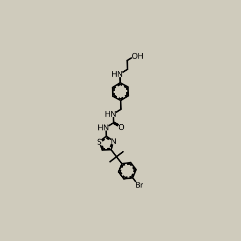 CC(C)(c1ccc(Br)cc1)c1csc(NC(=O)NCc2ccc(NCCO)cc2)n1